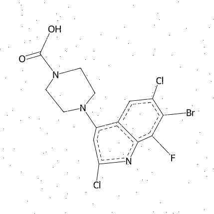 O=C(O)N1CCN(c2cc(Cl)nc3c(F)c(Br)c(Cl)cc23)CC1